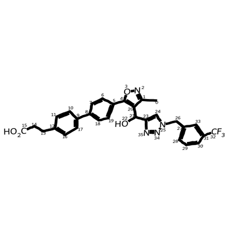 Cc1noc(-c2ccc(-c3ccc(CCC(=O)O)cc3)cc2)c1C(O)c1cn(Cc2cccc(C(F)(F)F)c2)nn1